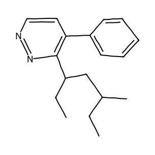 CCC(C)CC(CC)c1nnccc1-c1ccccc1